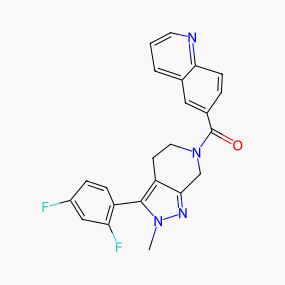 Cn1nc2c(c1-c1ccc(F)cc1F)CCN(C(=O)c1ccc3ncccc3c1)C2